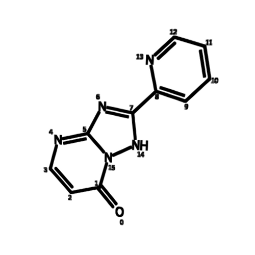 O=c1ccnc2nc(-c3ccccn3)[nH]n12